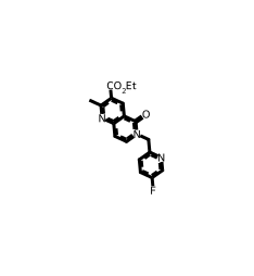 CCOC(=O)c1cc2c(=O)n(Cc3ccc(F)cn3)ccc2nc1C